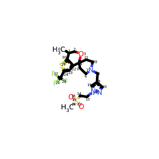 CC1COC2(CCN(Cc3cnn(CCS(C)(=O)=O)c3)CC2)c2cc(C(F)(F)F)sc21